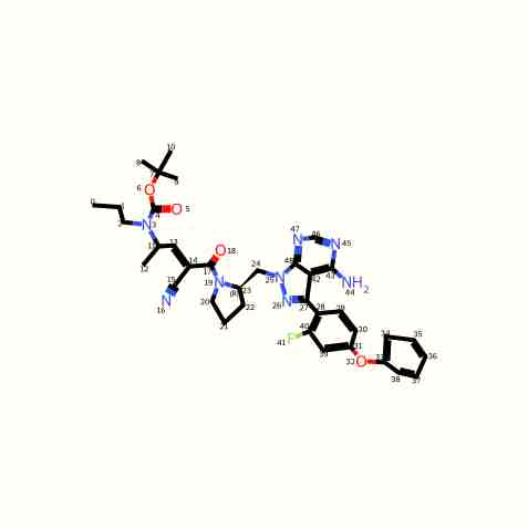 CCCN(C(=O)OC(C)(C)C)C(C)C=C(C#N)C(=O)N1CCC[C@@H]1Cn1nc(-c2ccc(Oc3ccccc3)cc2F)c2c(N)ncnc21